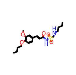 CCCCNCS(=O)(=O)NC(=O)/C=C/c1ccc(OCCCC)c(OC)c1